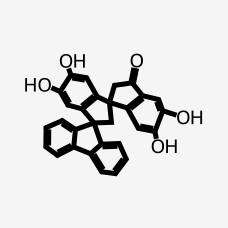 O=C1CC2(CC3(c4ccccc4-c4ccccc43)c3cc(O)c(O)cc32)c2cc(O)c(O)cc21